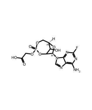 Nc1nc(F)nc2c1ncn2[C@@H]1O[C@@H]2COP(=O)(OCC(=O)O)OC1C2O